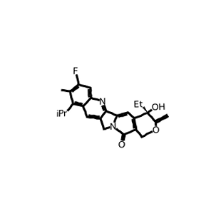 C=C1OCc2c(cc3n(c2=O)Cc2cc4c(C(C)C)c(C)c(F)cc4nc2-3)[C@@]1(O)CC